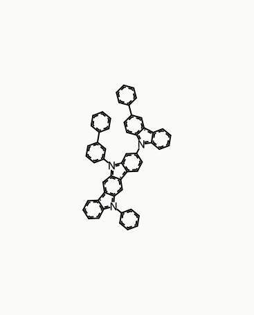 c1ccc(-c2cccc(-n3c4cc(-n5c6ccccc6c6cc(-c7ccccc7)ccc65)ccc4c4cc5c(cc43)c3ccccc3n5-c3ccccc3)c2)cc1